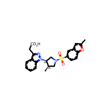 Cc1cc2cc(S(=O)(=O)N3C[C@@H](C)[C@@H](n4nc(CC(=O)O)c5ccccc54)C3)ccc2o1